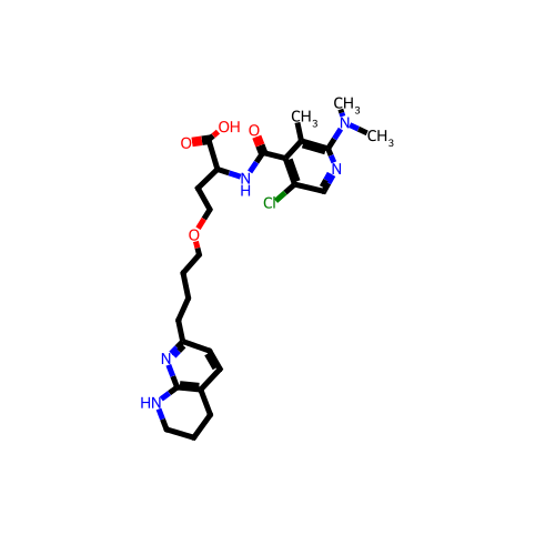 Cc1c(N(C)C)ncc(Cl)c1C(=O)NC(CCOCCCCc1ccc2c(n1)NCCC2)C(=O)O